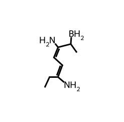 BC(C)/C(N)=C\C=C(\N)CC